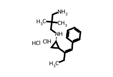 CCC(=Cc1ccccc1)C1C[C@@H]1NCC(C)(C)CN.Cl.Cl